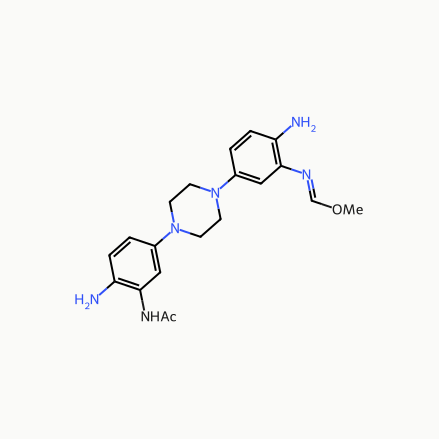 COC=Nc1cc(N2CCN(c3ccc(N)c(NC(C)=O)c3)CC2)ccc1N